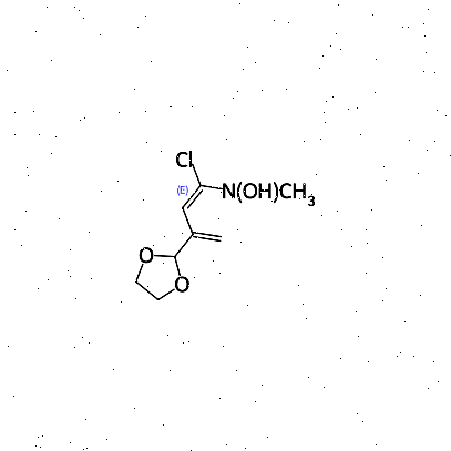 C=C(/C=C(/Cl)N(C)O)C1OCCO1